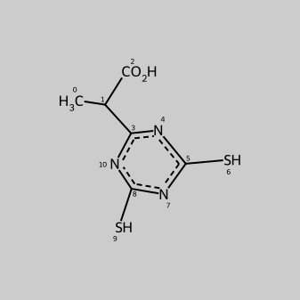 CC(C(=O)O)c1nc(S)nc(S)n1